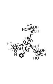 O=C(CN(CC(=O)NCCO[C@H]1O[C@H](CO)[C@@H](O)[C@H](O)[C@@H]1O)[C@@H](CCC(=O)OCc1ccccc1)C(=O)NCCO[C@H]1O[C@H](CO)[C@@H](O)[C@H](O)[C@@H]1O)NCCO[C@H]1O[C@H](CO)[C@@H](O)[C@H](O)[C@@H]1O